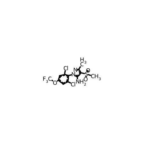 Cc1nn(-c2c(Cl)cc(OC(F)(F)F)cc2Cl)c(N)c1S(C)(=O)=O